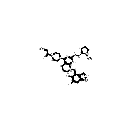 C=CC(=O)N1CCN(c2nc(OC[C@@H]3CCCN3C)nc3c2CCCN3Cc2c(Cl)c(F)cc3[nH]ncc23)CC1